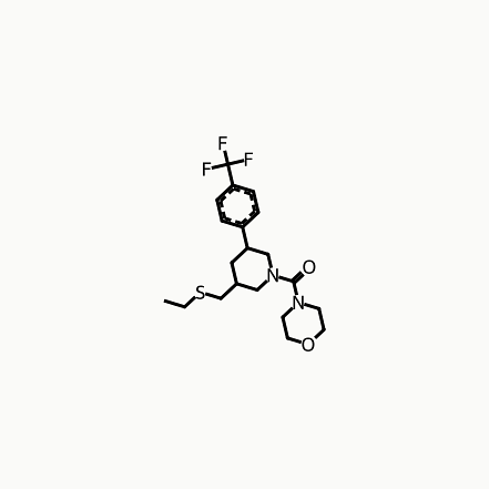 CCSCC1CC(c2ccc(C(F)(F)F)cc2)CN(C(=O)N2CCOCC2)C1